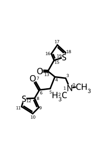 CN(C)CC(CC(=O)c1cccs1)C(=O)c1cccs1